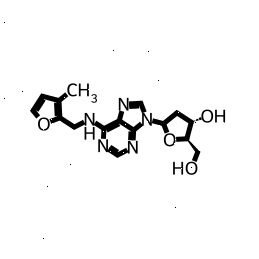 Cc1ccoc1CNc1ncnc2c1ncn2C1C[C@H](O)[C@@H](CO)O1